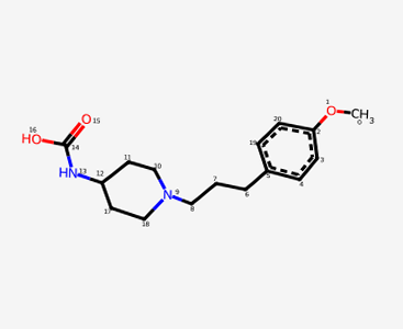 COc1ccc(CCCN2CCC(NC(=O)O)CC2)cc1